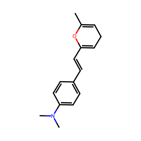 CC1=CCC=C(/C=C/c2ccc(N(C)C)cc2)O1